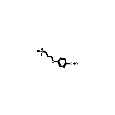 C[N+](C)(C)CCCOc1ccc(C=O)cc1